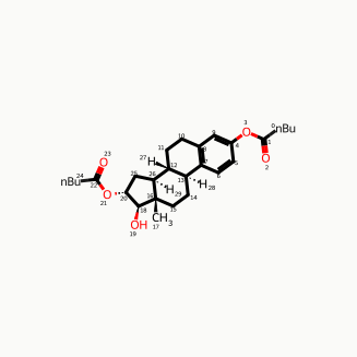 CCCCC(=O)Oc1ccc2c(c1)CC[C@@H]1[C@@H]2CC[C@]2(C)[C@@H](O)[C@H](OC(=O)CCCC)C[C@@H]12